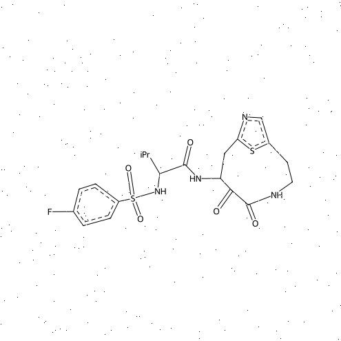 CC(C)C(NS(=O)(=O)c1ccc(F)cc1)C(=O)NC1Cc2ncc(s2)CCNC(=O)C1=O